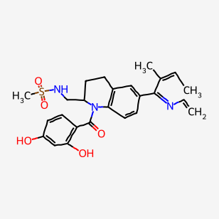 C=C/N=C(\C(C)=C/C)c1ccc2c(c1)CCC(CNS(C)(=O)=O)N2C(=O)c1ccc(O)cc1O